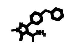 C=c1/c(=C(\C)N)c(-c2ccc(Cc3ccccc3)cc2)nn1C